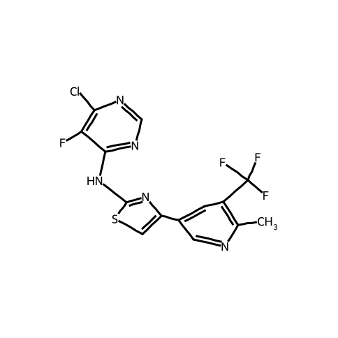 Cc1ncc(-c2csc(Nc3ncnc(Cl)c3F)n2)cc1C(F)(F)F